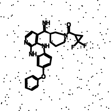 N=C(c1ccnc(N)c1Nc1ccc(Oc2ccccc2)cc1)[C@@H]1CCCN(C(=O)C2CC2(F)F)C1